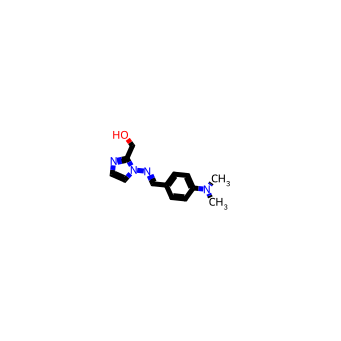 CN(C)c1ccc(/C=N/n2ccnc2CO)cc1